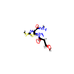 CNC(=O)c1nc(SC)sc1NC(=O)CCOC